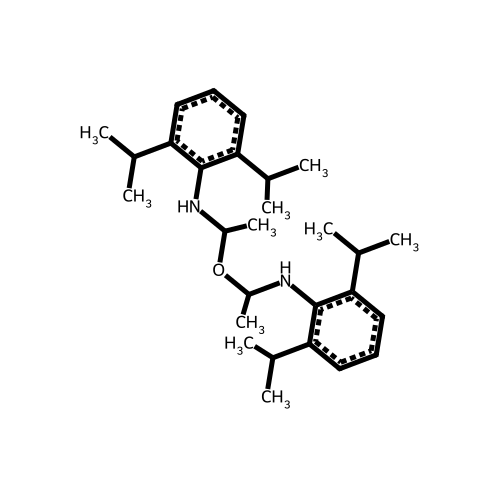 CC(Nc1c(C(C)C)cccc1C(C)C)OC(C)Nc1c(C(C)C)cccc1C(C)C